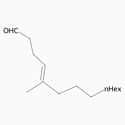 CCCCCCCCCC(C)=CCCC=O